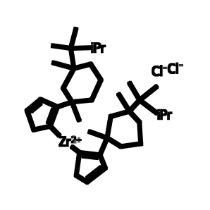 CC(C)C(C)(C)C1(C)CCCC(C)(C2=[C]([Zr+2][C]3=C(C4(C)CCCC(C)(C(C)(C)C(C)C)C4)C=CC3)CC=C2)C1.[Cl-].[Cl-]